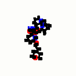 CC1CN(c2ncccc2C(=O)NS(=O)(=O)c2cccc(OCCC3CCOCC3)n2)C(C)(C)C1